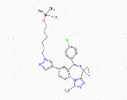 Cc1nnc2n1-c1ccc(-c3cnn(CCCCCCO[Si](C)(C)C(C)(C)C)c3)cc1C(c1ccc(Cl)cc1)=NC21CC1